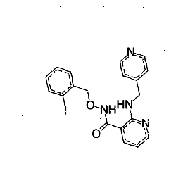 O=C(NOCc1ccccc1I)c1cccnc1NCc1ccncc1